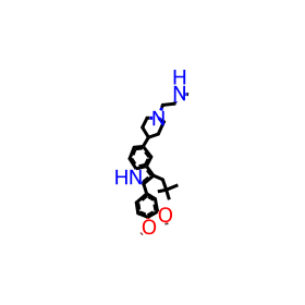 CNCCN1CCC(c2ccc3[nH]c(-c4ccc(OC)c(OC)c4)c(CC(C)(C)C)c3c2)CC1